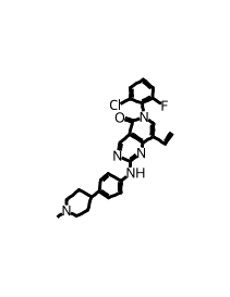 C=Cc1cn(-c2c(F)cccc2Cl)c(=O)c2cnc(Nc3ccc(C4CCN(C)CC4)cc3)nc12